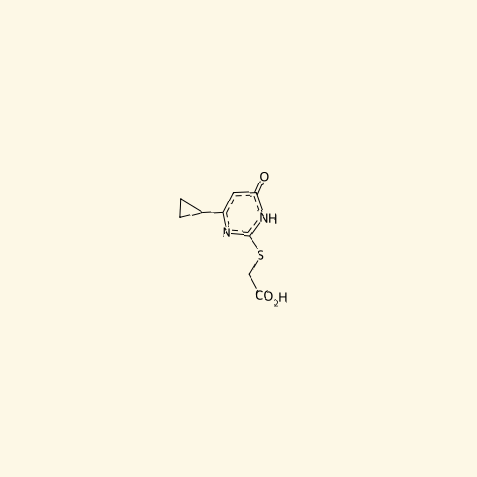 O=C(O)CSc1nc(C2CC2)cc(=O)[nH]1